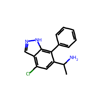 CC(N)c1cc(Cl)c2cn[nH]c2c1-c1ccccc1